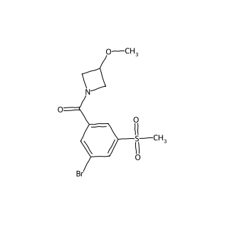 COC1CN(C(=O)c2cc(Br)cc(S(C)(=O)=O)c2)C1